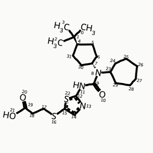 CC(C)(C)[C@H]1CC[C@H](N(C(=O)Nc2ncc(SCCC(=O)O)s2)C2CCCCCC2)CC1